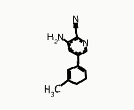 CC1=CC(c2cnc(C#N)c(N)c2)=CCC1